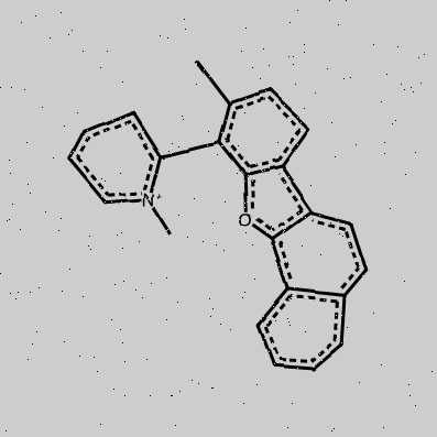 Cc1ccc2c(oc3c4ccccc4ccc23)c1-c1cccc[n+]1C